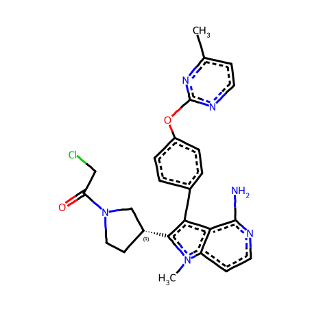 Cc1ccnc(Oc2ccc(-c3c([C@@H]4CCN(C(=O)CCl)C4)n(C)c4ccnc(N)c34)cc2)n1